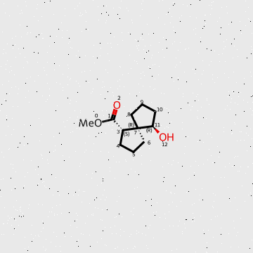 COC(=O)[C@H]1CCC[C@@]12CCC[C@H]2O